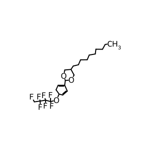 CCCCCCCCCCC1COC(C2=CCC(OC(F)(F)C(F)(F)C(F)(F)CF)C=C2)OC1